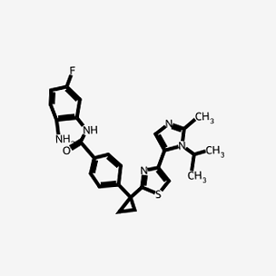 Cc1ncc(-c2csc(C3(c4ccc(C(=O)Nc5cc(F)ccc5N)cc4)CC3)n2)n1C(C)C